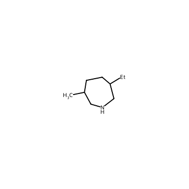 CCC1CCC(C)CNC1